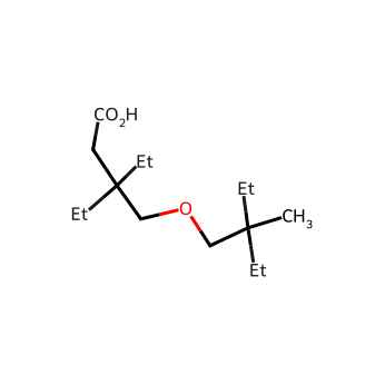 CCC(C)(CC)COCC(CC)(CC)CC(=O)O